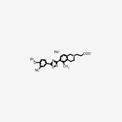 Cc1c(-c2noc(-c3ccc(OC(C)C)c(C#N)c3)n2)ccc2c1CCN(CCC(=O)[O-])C2.[Na+]